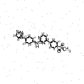 CS(=O)(=O)c1ccc(-c2ccnc(Nc3ccc(-n4ccnn4)cc3)n2)cc1